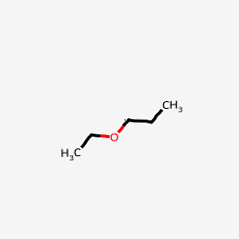 CC[CH]OCC